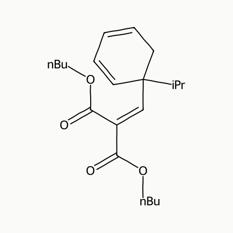 CCCCOC(=O)C(=CC1(C(C)C)C=CC=CC1)C(=O)OCCCC